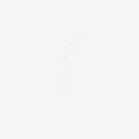 C=C(CC(=O)Nc1ccc(C(=O)C=Cc2ccc(OC)cc2)cc1)C(=O)O